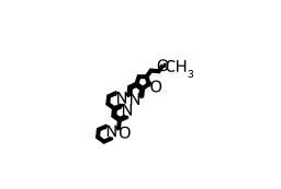 COCCC1Cc2cc(N3CCCc4cc(C(=O)N5CCCCC5)cnc43)ncc2C1=O